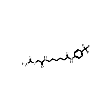 CC(=O)SCC(=O)NCCCCCC(=O)Nc1ccc(C(F)(F)F)cc1